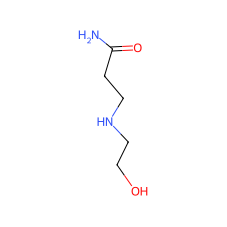 NC(=O)CCNCCO